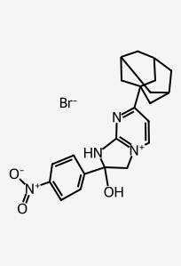 O=[N+]([O-])c1ccc(C2(O)C[n+]3ccc(C45CC6CC(CC(C6)C4)C5)nc3N2)cc1.[Br-]